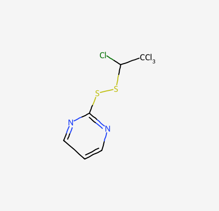 ClC(SSc1ncccn1)C(Cl)(Cl)Cl